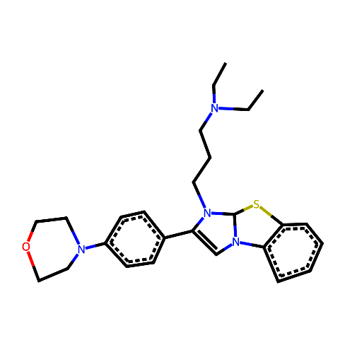 CCN(CC)CCCN1C(c2ccc(N3CCOCC3)cc2)=CN2c3ccccc3SC12